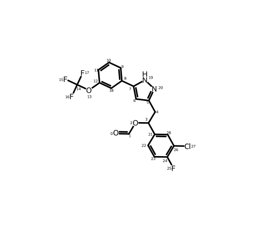 O=COC(Cc1cc(-c2cccc(OC(F)(F)F)c2)[nH]n1)c1ccc(F)c(Cl)c1